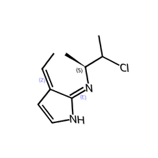 C/C=C1/C=CN/C1=N/[C@@H](C)C(C)Cl